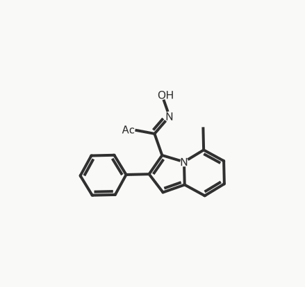 CC(=O)C(=NO)c1c(-c2ccccc2)cc2cccc(C)n12